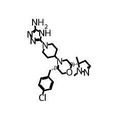 CN1N=CCC1(C)[C@H]1CN(C2CCN(c3nnc(N)[nH]3)CC2)[C@@H](Cc2ccc(Cl)cc2)CO1